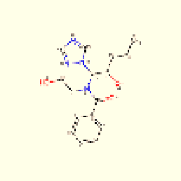 O=C(c1ccccc1)N(CCO)C(C(O)CCC(F)(F)F)n1cncn1